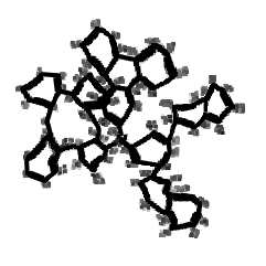 c1ccc2c(c1)Cc1ccccc1-c1cccc(N(c3cc(-c4ccc5ccccc5c4)cc(-c4ccc5ccccc5c4)c3)c3ccc4c5ccccc5c5ccccc5c4c3)c1Cc1ccccc1-2